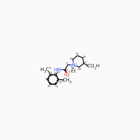 CC[N+]1(CC(=O)Nc2c(C)cccc2C)CCCC(C(=O)O)C1